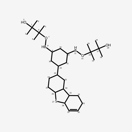 CC(C)(O)C(C)(C)OBC1CC(BOC(C)(C)C(C)(C)O)CC(C2CCC3SC4C=CCCC4C3C2)C1